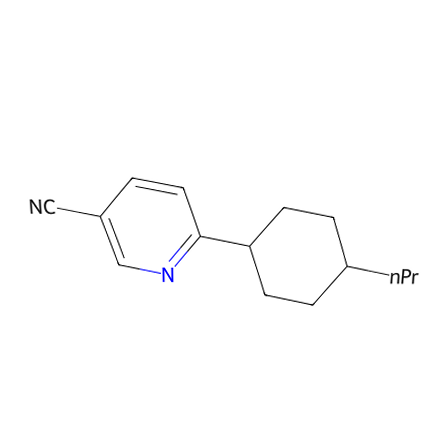 CCCC1CCC(c2ccc(C#N)cn2)CC1